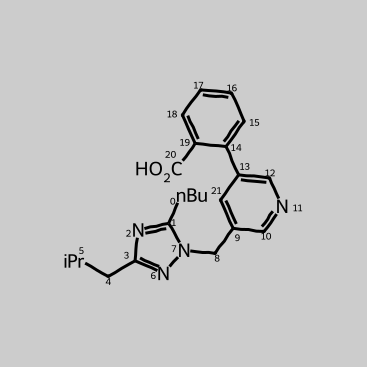 CCCCc1nc(CC(C)C)nn1Cc1cncc(-c2ccccc2C(=O)O)c1